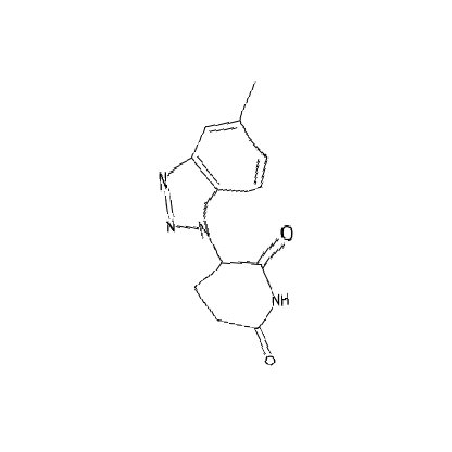 Cc1ccc2c(c1)nnn2C1CCC(=O)NC1=O